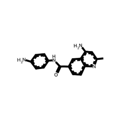 Cc1cc(N)c2cc(C(=O)Nc3ccc(N)cc3)ccc2n1